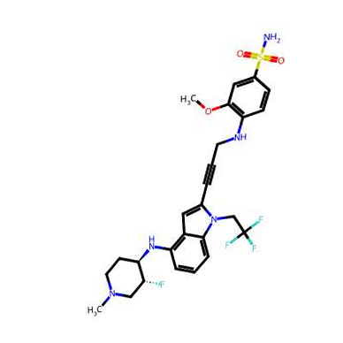 COc1cc(S(N)(=O)=O)ccc1NCC#Cc1cc2c(N[C@@H]3CCN(C)C[C@H]3F)cccc2n1CC(F)(F)F